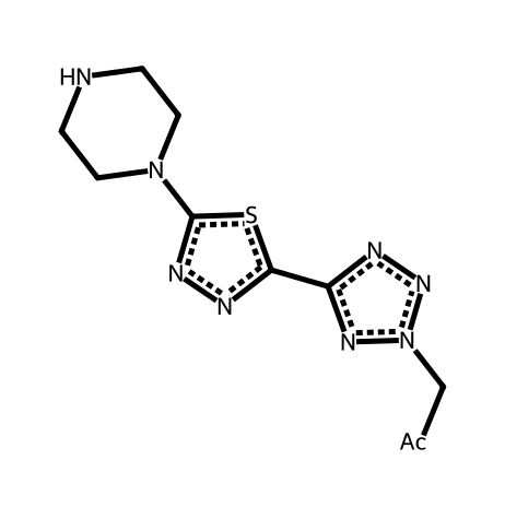 CC(=O)Cn1nnc(-c2nnc(N3CCNCC3)s2)n1